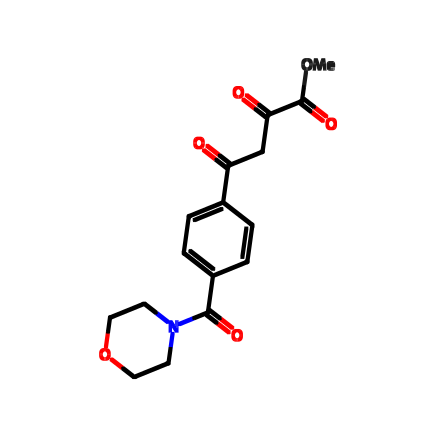 COC(=O)C(=O)CC(=O)c1ccc(C(=O)N2CCOCC2)cc1